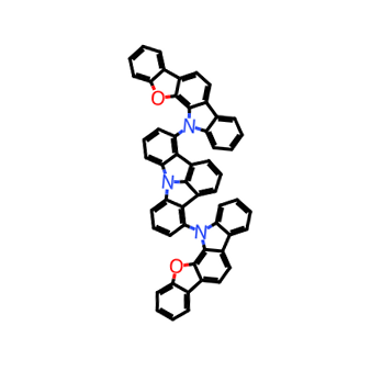 c1ccc2c(c1)oc1c2ccc2c3ccccc3n(-c3cccc4c3c3cccc5c6c(-n7c8ccccc8c8ccc9c%10ccccc%10oc9c87)cccc6n4c35)c21